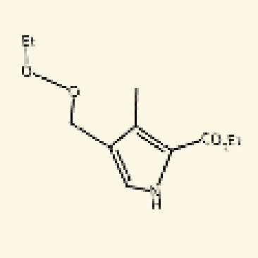 CCOOCc1c[nH]c(C(=O)OCC)c1C